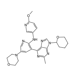 COc1ccc(Nc2ncc(N3CCOCC3)cc2-c2nc(C)nc3c2ncn3C2CCCCO2)cn1